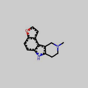 CN1CCc2[nH]c3ccc4occc4c3c2C1